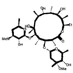 CC[C@H]1OC(=O)[C@H](C)[C@@H](O[C@H]2C[C@@](C)(OC)[C@@H](O)[C@H](C)O2)[C@H](C)[C@@H](O[C@@H]2O[C@H](C)C[C@H](NC)[C@H]2O)[C@](C)(O)C[C@@H](C)[C@H](O)[C@H](C)[C@@H](O)[C@H]1C